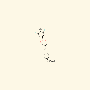 CCCCC[C@H]1CC[C@H](CC[C@H]2CO[C@H](c3cc(F)c(C#N)c(F)c3)OC2)CC1